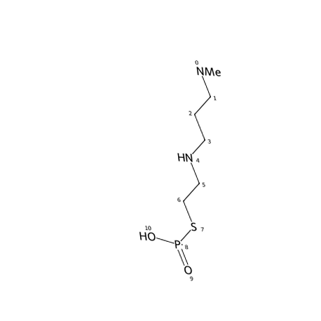 CNCCCNCCS[P](=O)O